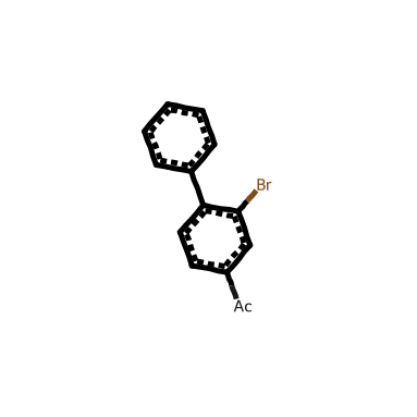 CC(=O)c1ccc(-c2ccccc2)c(Br)c1